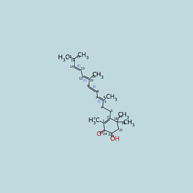 CC1=C(CC/C(C)=C/C=C/C(C)=C/C=C/C(C)C)C(C)(C)CC(O)C1=O